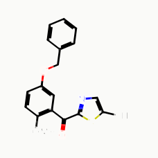 COc1ccc(OCc2ccccc2)cc1C(=O)c1ncc(C)s1